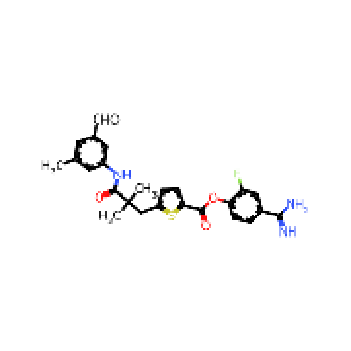 Cc1cc(C=O)cc(NC(=O)C(C)(C)Cc2ccc(C(=O)Oc3ccc(C(=N)N)cc3F)s2)c1